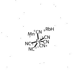 N#[C][Fe]([C]#N)([C]#N)([C]#N)([C]#N)[C]#N.[Mn].[RbH]